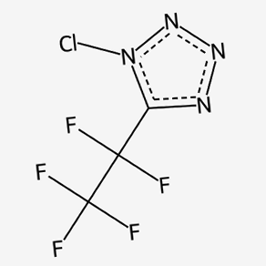 FC(F)(F)C(F)(F)c1nnnn1Cl